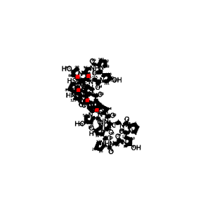 O=C(O)CNC(=O)[C@@H]1CCCN1C(=O)[C@@H]1C[C@@H](O)CN1C(=O)CNC(=O)[C@@H]1CCCN1C(=O)[C@@H]1C[C@@H](O)CN1C(=O)CNC(=O)[C@@H]1CCCN1C(=O)[C@@H]1C[C@@H](O)CN1C(=O)CNC(=O)[C@@H]1CCCN1C(=O)[C@@H]1C[C@@H](O)CN1C(=O)CNC(=O)[C@@H]1CCCN1C(=O)[C@@H]1C[C@@H](O)CN1C(=O)CNC(=O)[C@@H]1CCCN1C(=O)[C@@H]1C[C@@H](O)CN1C(=O)CNC(=O)[C@H](CS)NC(=O)[C@@H]1C[C@@H](O)CN1